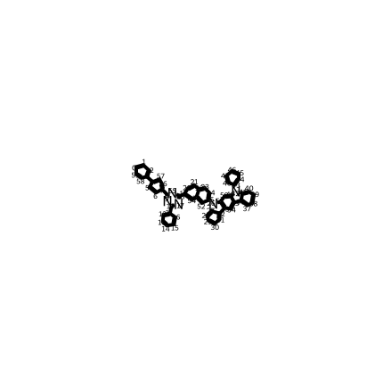 c1ccc(-c2ccc(-c3nc(-c4ccccc4)nc(-c4ccc5ccc(-n6c7ccccc7c7cc8c9ccccc9n(-c9ccccc9)c8cc76)cc5c4)n3)cc2)cc1